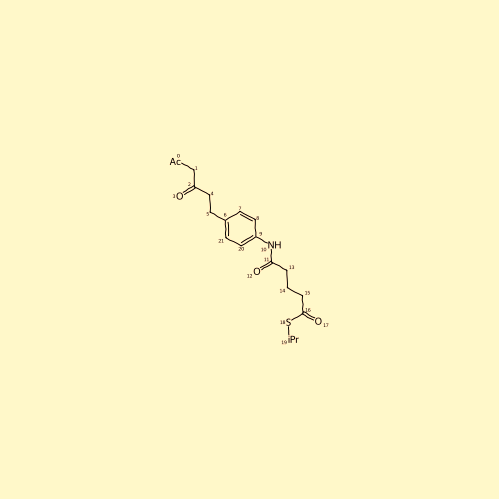 CC(=O)CC(=O)CCc1ccc(NC(=O)CCCC(=O)SC(C)C)cc1